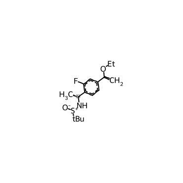 C=C(OCC)c1ccc([C@H](C)N[S+]([O-])C(C)(C)C)c(F)c1